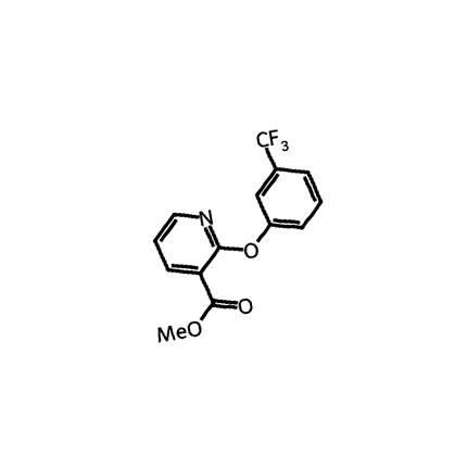 COC(=O)c1cccnc1Oc1cccc(C(F)(F)F)c1